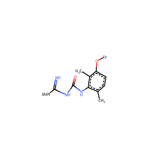 CCOc1ccc(C)c(NC(=O)NC(=N)NC)c1C